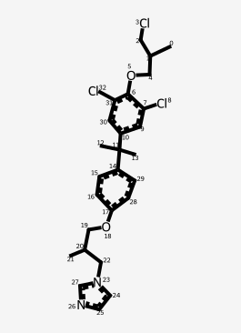 CC(CCl)COc1c(Cl)cc(C(C)(C)c2ccc(OCC(C)Cn3ccnc3)cc2)cc1Cl